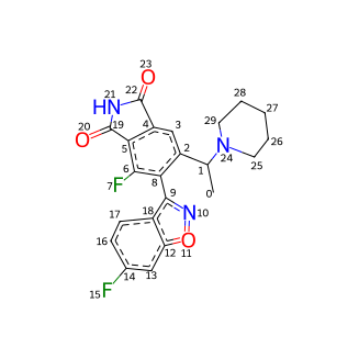 CC(c1cc2c(c(F)c1-c1noc3cc(F)ccc13)C(=O)NC2=O)N1CCCCC1